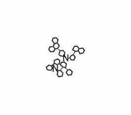 c1ccc(-c2cc(N(c3ccc(-c4cc5ccccc5c5ccccc45)cc3)c3cccc(-c4cccc5ccccc45)c3)ccc2-c2ccccc2-n2c3ccccc3c3ccccc32)cc1